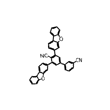 N#Cc1cccc(-c2cc(-c3ccc4c(c3)oc3ccccc34)c(C#N)c(-c3ccc4c(c3)oc3ccccc34)c2)c1